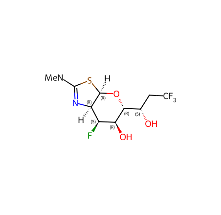 CNC1=N[C@@H]2[C@H](F)[C@H](O)[C@@H]([C@@H](O)CC(F)(F)F)O[C@@H]2S1